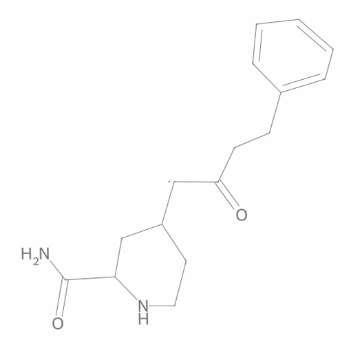 NC(=O)C1CC([CH]C(=O)CCc2ccccc2)CCN1